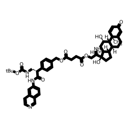 CC(C)(C)OC(=O)NC[C@@H](C(=O)Nc1ccc2cnccc2c1)c1ccc(COC(=O)CCC(=O)OCC(=N)[C@@]2(O)CC[C@H]3[C@@H]4CCC5=CC(=O)C=C[C@]5(C)[C@H]4[C@@H](O)C[C@@]32C)cc1